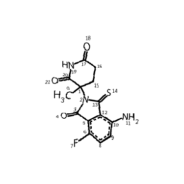 CC1(N2C(=O)c3c(F)ccc(N)c3C2=S)CCC(=O)NC1=O